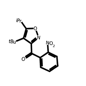 CC(C)c1onc(C(=O)c2ccccc2[N+](=O)[O-])c1C(C)(C)C